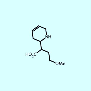 COCCC(C(=O)O)C1CC=CCN1